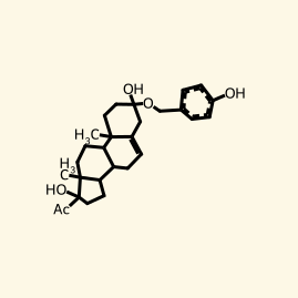 CC(=O)C1(O)CCC2C3CC=C4CC(O)(OCc5ccc(O)cc5)CCC4(C)C3CCC21C